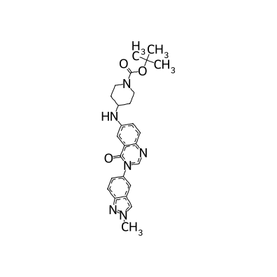 Cn1cc2cc(-n3cnc4ccc(NC5CCN(C(=O)OC(C)(C)C)CC5)cc4c3=O)ccc2n1